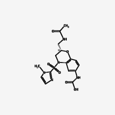 CC(=O)NC[C@H]1CN(S(=O)(=O)c2nccn2C)c2cc(NC(=O)O)ccc2O1